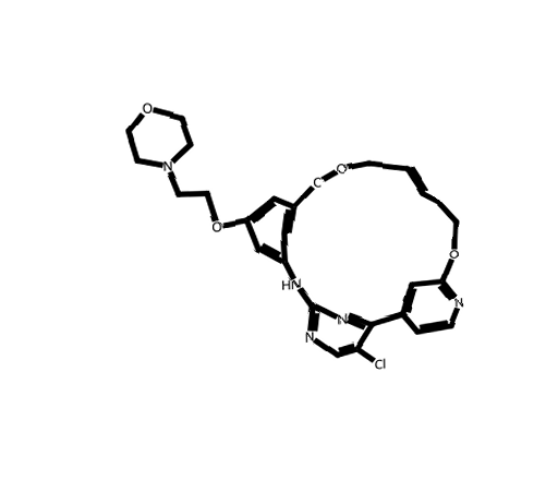 Clc1cnc2nc1-c1ccnc(c1)OCC/C=C/COCc1cc(cc(OCCN3CCOCC3)c1)N2